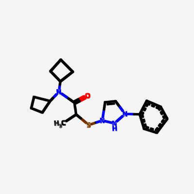 CC(SN1C=CN(c2ccccc2)N1)C(=O)N(C1CCC1)C1CCC1